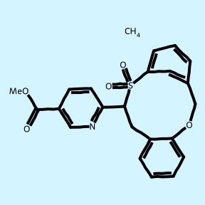 C.COC(=O)c1ccc(C2Cc3ccccc3OCc3cccc(c3)S2(=O)=O)nc1